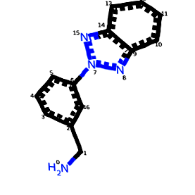 NCc1cc[c]c(-n2nc3ccccc3n2)c1